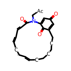 CC(=O)CN1C(=O)/C=C/C=C/C[CH]/C=C/CCCCCCC2=CC(=O)C=C1C2=O